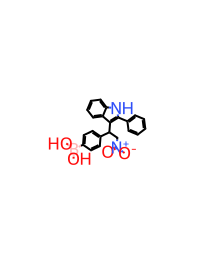 O=[N+]([O-])CC(c1ccc(B(O)O)cc1)c1c(-c2ccccc2)[nH]c2ccccc12